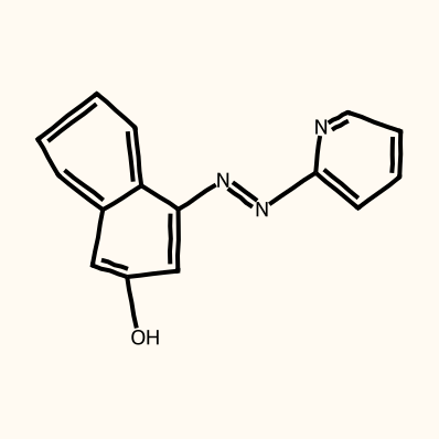 Oc1cc(/N=N/c2ccccn2)c2ccccc2c1